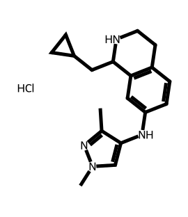 Cc1nn(C)cc1Nc1ccc2c(c1)C(CC1CC1)NCC2.Cl